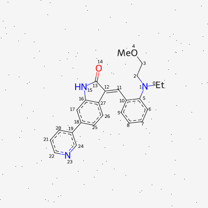 CCN(CCOC)c1ccccc1/C=C1/C(=O)Nc2cc(-c3cccnc3)ccc21